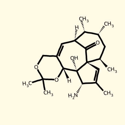 CC1=C[C@]23C(=O)[C@@H](C=C4COC(C)(C)O[C@H]4[C@]2(O)[C@H]1N)[C@H](C)[C@H](C)C[C@H]3C